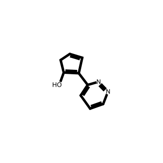 OC1=C(c2cccnn2)C=CC1